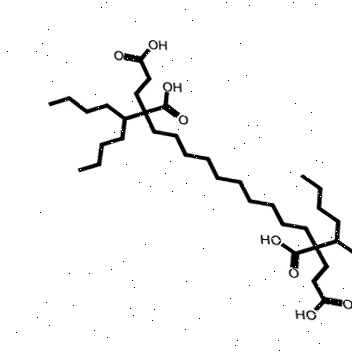 CCCCC(CCCC)C(CCCCCCCCCCC(CCC(=O)O)(C(=O)O)C(CCCC)CCCC)(CCC(=O)O)C(=O)O